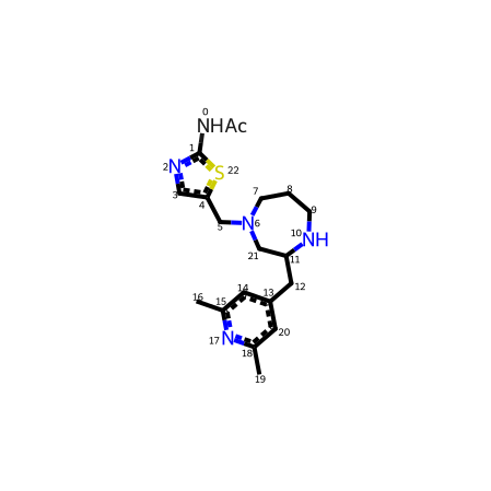 CC(=O)Nc1ncc(CN2CCCNC(Cc3cc(C)nc(C)c3)C2)s1